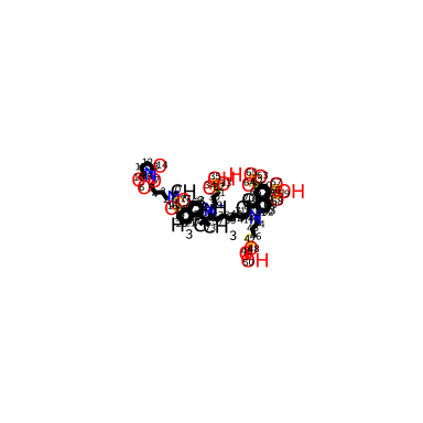 CN(CCCC(=O)ON1C(=O)CCC1=O)S(=O)(=O)c1cccc2c3c(ccc12)[N+](CCCS(=O)(=O)O)=C(/C=C/C=C/C=C1/N(CCCSOOO)c2ccc4c(S(=O)(=O)O)cc(S(=O)(=O)O)cc4c2C1(C)C)C3(C)C